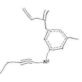 C=CC(=C)c1cc(C)cc(NC#CCC)c1